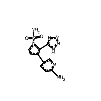 Nc1ccc(-c2ccn(S(N)(=O)=O)c2-c2nnn[nH]2)cn1